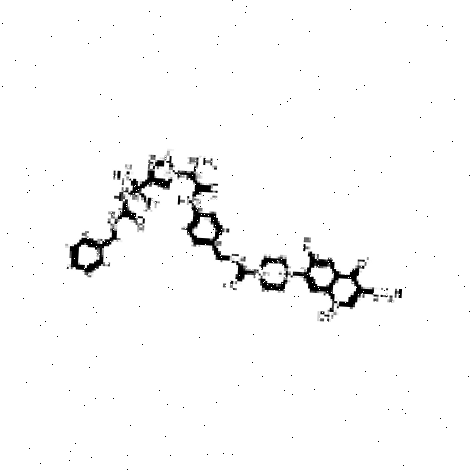 CCN1C=C(C(=O)O)C(=O)C2C=C(F)C(N3CCN(C(=O)OCc4ccc(NC(=O)[C@H](C)n5cc([C@@](C)(NC(=O)OCc6ccccc6)C(C)C)nn5)cc4)CC3)=CC21